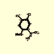 CNc1cc(Cl)c(Cl)cc1[NH+]([O-])O